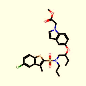 CCCN(CC(CC)Oc1ccc2c(ccn2CC(=O)OC)c1)S(=O)(=O)c1sc2ccc(Cl)cc2c1C